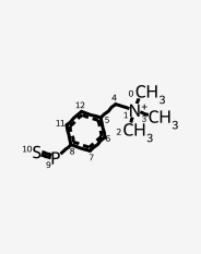 C[N+](C)(C)Cc1ccc(P=S)cc1